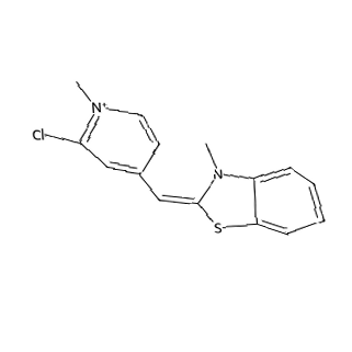 CN1C(=Cc2cc[n+](C)c(Cl)c2)Sc2ccccc21